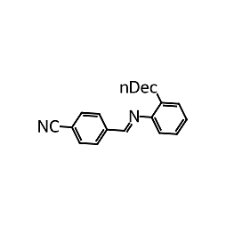 CCCCCCCCCCc1ccccc1N=Cc1ccc(C#N)cc1